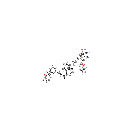 C[C@@H](C#Cc1cccc(C(C)(C)O[Si](C)(C)C)c1)[C@H]1CC[C@H]2/C(=C/C=C3C[C@@H](O[Si](C)(C)C(C)(C)C)C[C@H](O[Si](C)(C)C(C)(C)C)C3)CCC[C@]12C